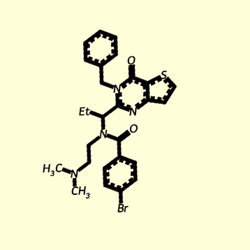 CCC(c1nc2ccsc2c(=O)n1Cc1ccccc1)N(CCN(C)C)C(=O)c1ccc(Br)cc1